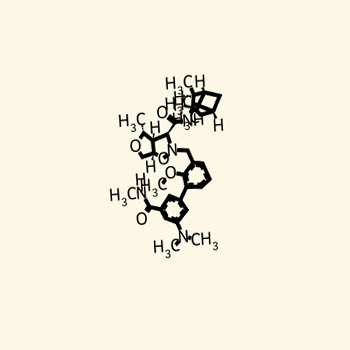 CNC(=O)c1cc(-c2cccc(CN3O[C@H]4CO[C@H](C)[C@H]4[C@H]3C(=O)N[C@H]3C[C@H]4C[C@@H]([C@@H]3C)C4(C)C)c2OC)cc(N(C)C)c1